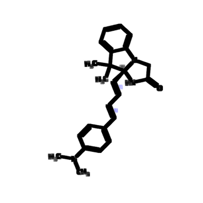 CN(C)c1ccc(/C=C/C=C/[C@]23NC(=O)CN2c2ccccc2C3(C)C)cc1